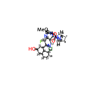 COc1nc(N2C[C@H]3CC[C@@H](C2)N3C(=O)OC(C)(C)C)c2cnc(-c3cc(O)cc4cccc(Cl)c34)c(F)c2n1